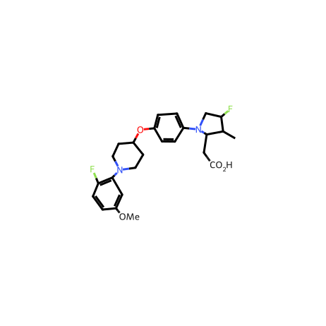 COc1ccc(F)c(N2CCC(Oc3ccc(N4CC(F)C(C)C4CC(=O)O)cc3)CC2)c1